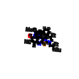 CCCCC(CC)CN(CC(CC)CCCC)c1nc(-c2ccc(OC)cc2)c(/N=C2/C(C)=C(C#N)C(=O)n3nc(Cc4ccccc4)nc32)s1